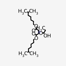 C=CC(=O)O.CC(C)CCCCCOC(=O)/C=C\C(=O)OCCCCCC(C)C